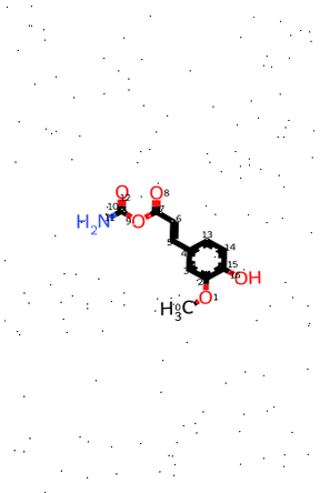 COc1cc(C=CC(=O)OC(N)=O)ccc1O